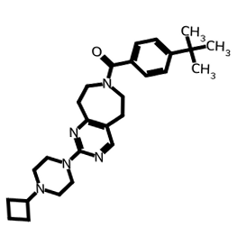 CC(C)(C)c1ccc(C(=O)N2CCc3cnc(N4CCN(C5CCC5)CC4)nc3CC2)cc1